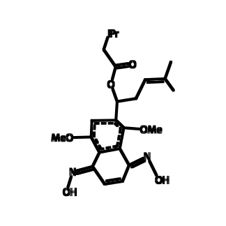 COc1cc(C(CC=C(C)C)OC(=O)CC(C)C)c(OC)c2c1C(=NO)C=CC2=NO